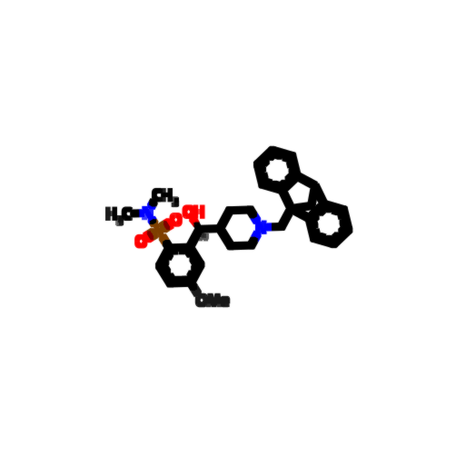 COc1ccc(S(=O)(=O)N(C)C)c([C@@H](O)C2CCN(CC34CC(c5ccccc53)c3ccccc34)CC2)c1